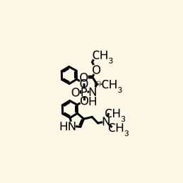 CCOC(=O)[C@H](C)NP(=O)(Oc1ccccc1)Oc1cccc2[nH]cc(CCN(C)C)c12